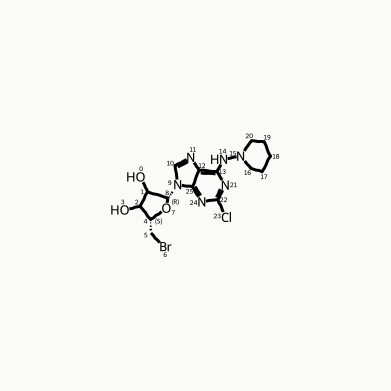 OC1C(O)[C@@H](CBr)O[C@H]1n1cnc2c(NN3CCCCC3)nc(Cl)nc21